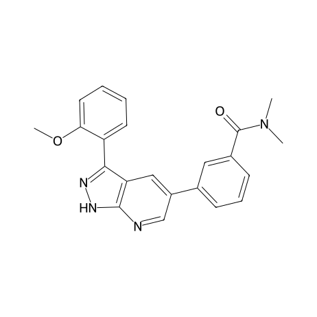 COc1ccccc1-c1n[nH]c2ncc(-c3cccc(C(=O)N(C)C)c3)cc12